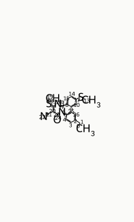 CCc1ccc(-n2c(-c3ccc(SC)cc3)nc(SC)c(C#N)c2=O)cc1